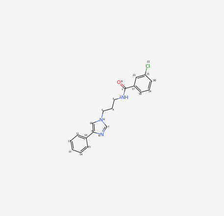 O=C(NCCCn1cnc(-c2ccccc2)c1)c1cccc(Cl)c1